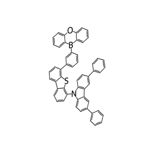 c1ccc(-c2ccc3c(c2)c2cc(-c4ccccc4)ccc2n3-c2cccc3c2sc2c(-c4cccc(B5c6ccccc6Oc6ccccc65)c4)cccc23)cc1